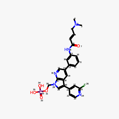 CN(C)CC=CC(=O)Nc1cccc(-c2cnc3c(c2)c(-c2ccnc(F)c2)cn3COP(=O)(O)O)c1